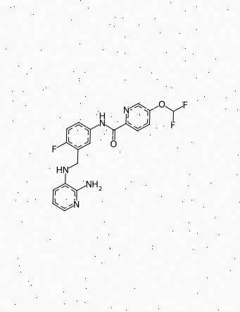 Nc1ncccc1NCc1cc(NC(=O)c2ccc(OC(F)F)cn2)ccc1F